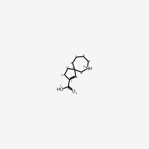 O=C(O)C1=CC2(CCCCNC2)CC1